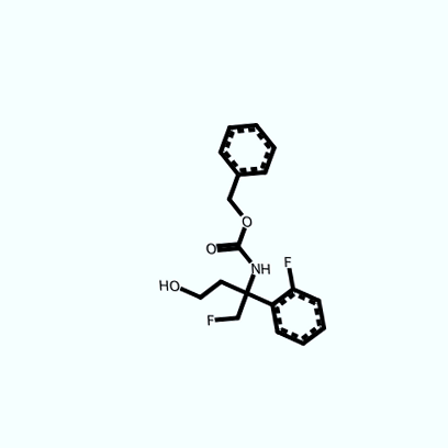 O=C(NC(CF)(CCO)c1ccccc1F)OCc1ccccc1